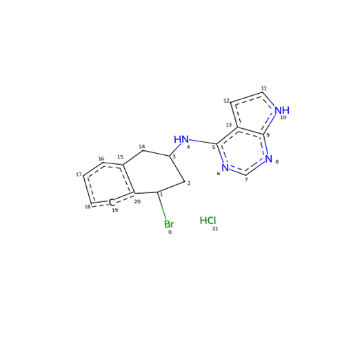 BrC1CC(Nc2ncnc3[nH]ccc23)Cc2ccccc21.Cl